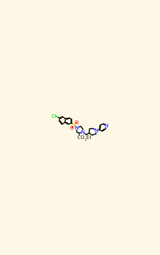 CCOC(=O)C1CN(S(=O)(=O)c2ccc3cc(Cl)ccc3c2)CCN1CC1CCN(c2ccncc2)CC1